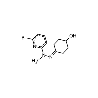 CN(N=C1CCC(O)CC1)c1cccc(Br)n1